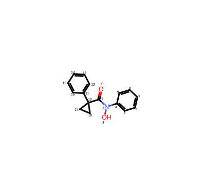 O=C(N(O)c1ccccc1)C1(c2ccccc2)CC1